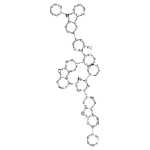 c1ccc(-c2ccc3c(c2)oc2cc(-c4nc(-c5ccccc5)nc(-c5cccc6oc7ccc(-c8cccc9oc%10cc(-c%11ccc%12c(c%11)c%11ccccc%11n%12-c%11ccccc%11)ccc%10c89)cc7c56)n4)ccc23)cc1